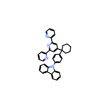 c1ccc(-c2cc(C3(c4ccc(-n5c6ccccc6c6ccccc65)cc4)CCCCC3)cc(-c3ccccn3)n2)nc1